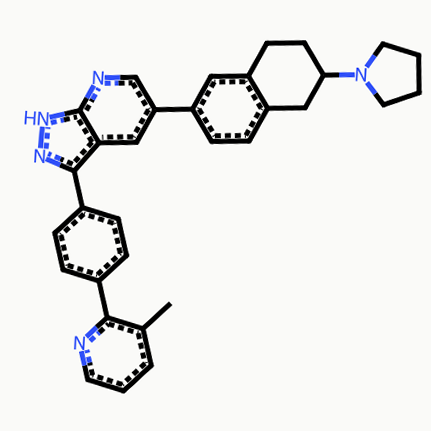 Cc1cccnc1-c1ccc(-c2n[nH]c3ncc(-c4ccc5c(c4)CCC(N4CCCC4)C5)cc23)cc1